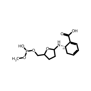 COP(O)OCC1CCC(N[C@H]2CC=CC=C2C(=O)O)O1